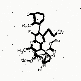 Cc1nc2c(F)c(-c3cccc(Cl)c3C)c(CCC#N)cc2c(N(C(=O)OC(C)(C)C)[C@H]2[C@H]3C[C@H]2N(C(=O)OC(C)(C)C)C3)c1N